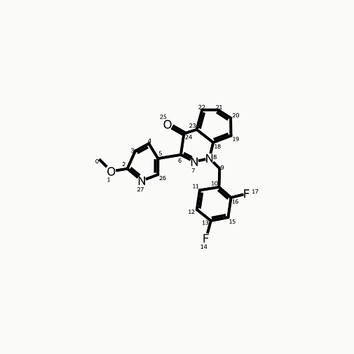 COc1ccc(-c2nn(Cc3ccc(F)cc3F)c3ccccc3c2=O)cn1